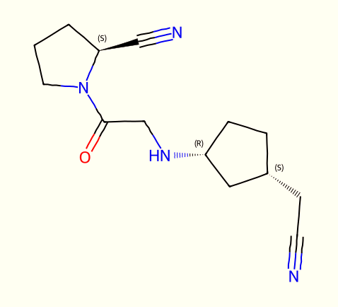 N#CC[C@H]1CC[C@@H](NCC(=O)N2CCC[C@H]2C#N)C1